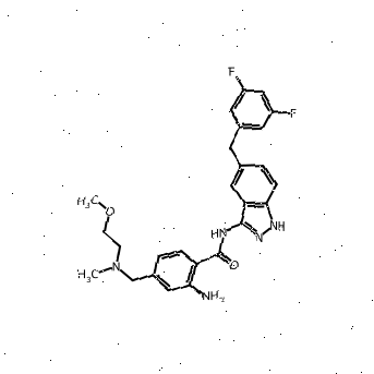 COCCN(C)Cc1ccc(C(=O)Nc2n[nH]c3ccc(Cc4cc(F)cc(F)c4)cc23)c(N)c1